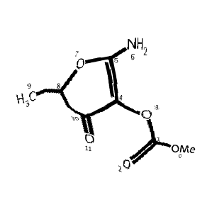 COC(=O)OC1=C(N)OC(C)C1=O